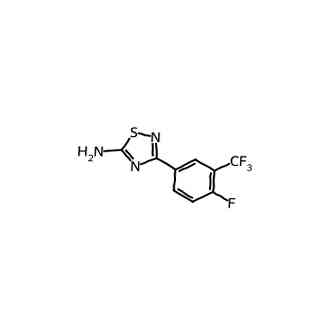 Nc1nc(-c2ccc(F)c(C(F)(F)F)c2)ns1